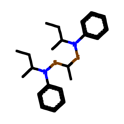 CCC(C)N(SC(C)SN(c1ccccc1)C(C)CC)c1ccccc1